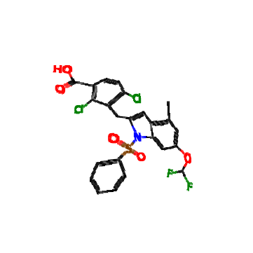 Cc1cc(OC(F)F)cc2c1cc(Cc1c(Cl)ccc(C(=O)O)c1Cl)n2S(=O)(=O)c1ccccc1